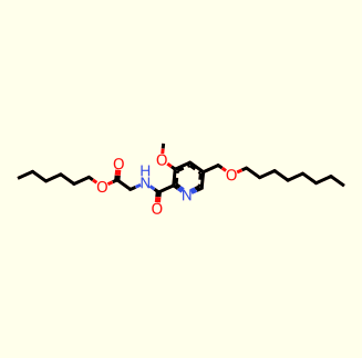 CCCCCCCCOCc1cnc(C(=O)NCC(=O)OCCCCCC)c(OC)c1